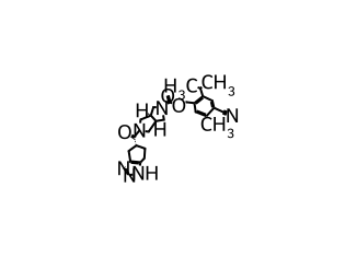 Cc1cc(COC(=O)N2C[C@@H]3CN(C(=O)[C@@H]4CCc5[nH]nnc5C4)C[C@H]3C2)c(C(C)C)cc1C#N